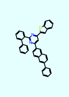 c1ccc(-c2ccc3cc(-c4cc(-c5cc6ccccc6s5)nc(-c5ccccc5-c5ccccc5)n4)ccc3c2)cc1